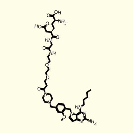 CCCCCNc1nc(N)nc2ccn(Cc3ccc(CN4CCN(C(=O)CCOCCOCCNC(=O)CNC(=O)[C@H](CC[C@H](N)C(=O)O)CC(=O)O)CC4)cc3OC)c12